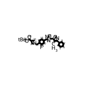 Cc1c(-c2ccccc2)noc1-c1nc(-c2ccc(CN3CC(C(=O)OC(C)(C)C)C3)c(F)c2)no1